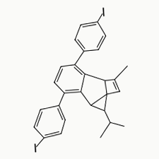 CC1=CC23C1c1c(-c4ccc(I)cc4)ccc(-c4ccc(I)cc4)c1C2C3C(C)C